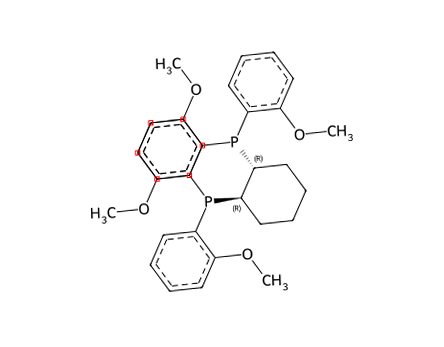 COc1ccccc1P(c1ccccc1OC)[C@@H]1CCCC[C@H]1P(c1ccccc1OC)c1ccccc1OC